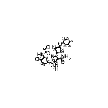 C=CC(=O)Nc1cc(C2CCNc3c(C(N)=O)c(-c4ccc(Oc5ccccc5)cc4)nn32)ccc1Cl